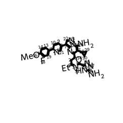 CC[C@H](CCc1nc2c(-c3ccc(-c4ccc(OC)c(F)c4)nc3)cnn2c(N)c1C1CC1)N(C)C(=O)c1nnc(N)[nH]1